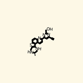 C#Cc1cc(-c2ccc3c(ccc4sc5c(c43)NC[C@@H](C)NC5)n2)nc(CO)n1